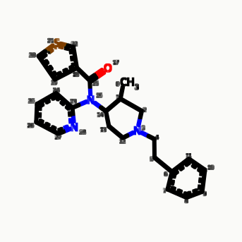 CC1CN(CCc2ccccc2)CCC1N(C(=O)c1ccsc1)c1ccccn1